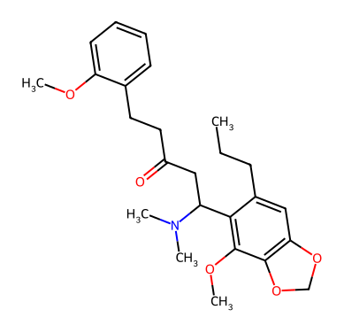 CCCc1cc2c(c(OC)c1C(CC(=O)CCc1ccccc1OC)N(C)C)OCO2